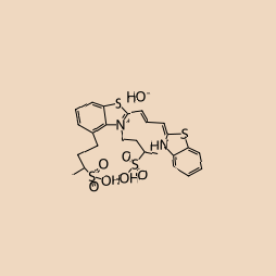 CC(CCc1cccc2sc(C=CC=C3Nc4ccccc4S3)[n+](CCC(C)S(=O)(=O)O)c12)S(=O)(=O)O.[OH-]